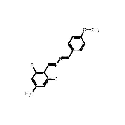 COc1ccc(/C=N/N=C/c2c(F)cc(C)cc2F)cc1